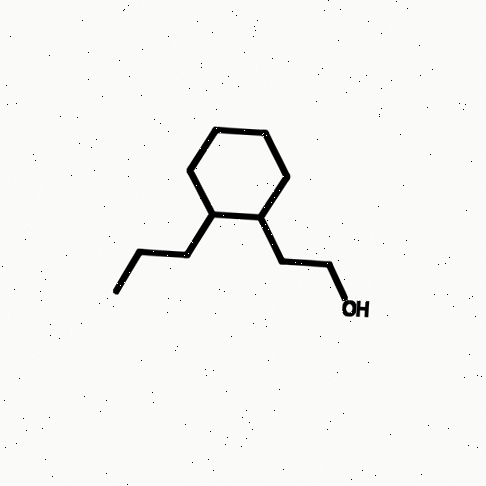 CCCC1CCCCC1CCO